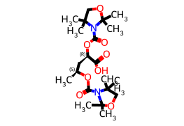 C[C@@H](C[C@@H](OC(=O)N1C(C)(C)COC1(C)C)C(=O)O)OC(=O)N1C(C)(C)COC1(C)C